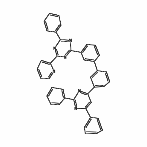 c1ccc(-c2cc(-c3cccc(-c4cccc(-c5nc(-c6ccccc6)nc(-c6ccccn6)n5)c4)c3)nc(-c3ccccc3)n2)cc1